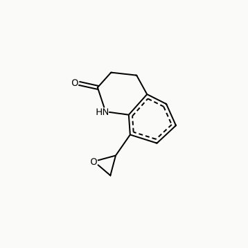 O=C1CCc2cccc(C3CO3)c2N1